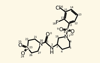 O=C(NC1CCCN(S(=O)(=O)c2cccc(Cl)c2F)C1)N1CCS(=O)(=O)CC1